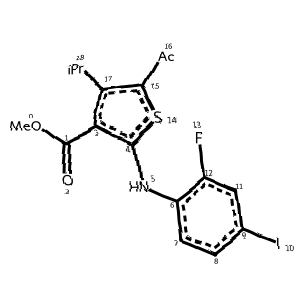 COC(=O)c1c(Nc2ccc(I)cc2F)sc(C(C)=O)c1C(C)C